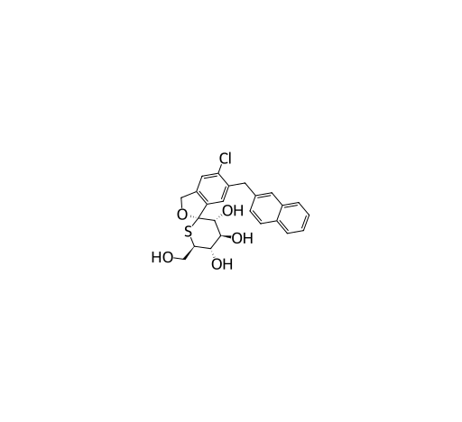 OC[C@H]1S[C@]2(OCc3cc(Cl)c(Cc4ccc5ccccc5c4)cc32)[C@H](O)[C@@H](O)[C@@H]1O